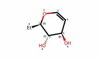 CC[C@H]1OC=C[C@@H](O)[C@@H]1O